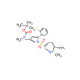 CC1CC=C(S(=O)(=O)n2cc(CN(C)C(=O)OC(C)(C)C)cc2-c2ccccc2F)C=N[C@H]1C